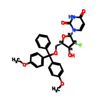 COc1ccc(C(OC[C@@H]2O[C@H](n3ccc(=O)[nH]c3=O)[C@H](F)[C@H]2O)(c2ccccc2)c2ccc(OC)cc2)cc1